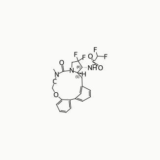 CN1CCOc2ccccc2-c2cccc(c2)C[C@H]2[C@@H](NS(=O)(=O)C(F)F)C(F)(F)CN2C1=O